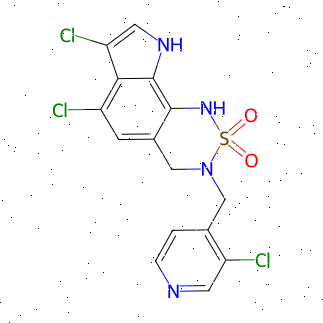 O=S1(=O)Nc2c(cc(Cl)c3c(Cl)c[nH]c23)CN1Cc1ccncc1Cl